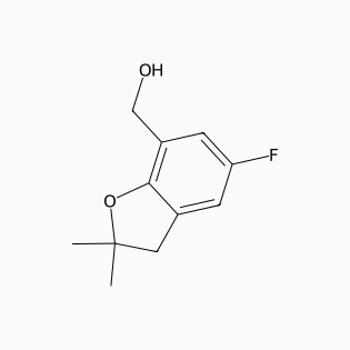 CC1(C)Cc2cc(F)cc(CO)c2O1